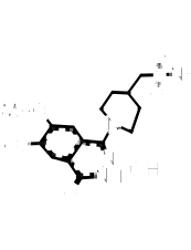 COc1cc2c(N3CCC(CS(N)(=O)=O)CC3)n[nH]c(=O)c2cc1OC.Cl